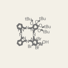 CC(C)(C)COc1c(OCC(C)(C)C)c(OCC(C)(C)C)c2c(c1OCC(C)(C)C)-c1nc-2nc2[nH]c(nc3nc(nc4[nH]c(n1)c1ccccc41)-c1ccccc1-3)c1c(Br)c(Br)c(Br)c(Br)c21.[OH][AlH2]